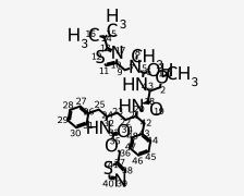 COCC(NC(O)N(C)Cc1csc(C(C)C)n1)C(=O)NC(CCC(Cc1ccccc1)NC(=O)OCc1cncs1)Cc1ccccc1